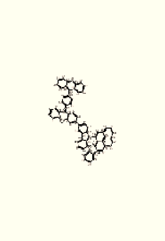 c1ccc2c(c1)Oc1cc(-c3ccc4c(c3)c3ccccc3n4-c3cc4cccc5ccc6cc7c8ccccc8oc7c3c6c54)ccc1N2c1ccc(-c2c3ccccc3cc3ccccc23)cc1